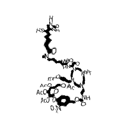 CCCN1CCN(CCNC(=O)OCc2ccc(OC3OC(COC(C)=O)C(OC(C)=O)C(OC(C)=O)C3OC(C)=O)c([N+](=O)[O-])c2)CCN(CC#COCC)CCN(C(NC(=O)CCCCCN(C)C(=O)CCCCC(S)C2CNC(=O)N2)C(=O)OC)CC1